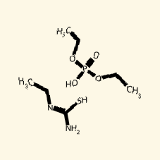 CCN=C(N)S.CCOP(=O)(O)OCC